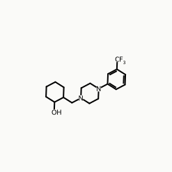 OC1CCCCC1CN1CCN(c2cccc(C(F)(F)F)c2)CC1